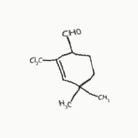 CC1(C)C=C(C(Cl)(Cl)Cl)C(C=O)CC1